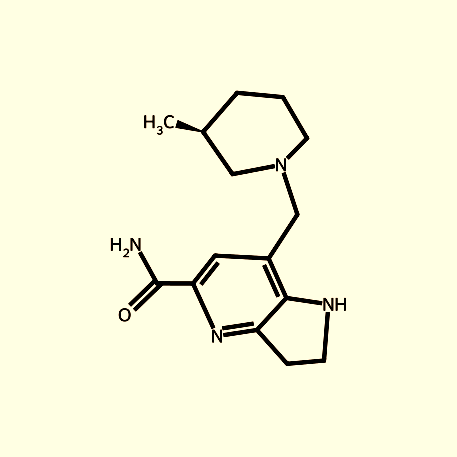 C[C@H]1CCCN(Cc2cc(C(N)=O)nc3c2NCC3)C1